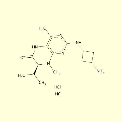 Cc1nc(N[C@H]2C[C@@H](N)C2)nc2c1NC(=O)[C@H](C(C)C)N2C.Cl.Cl